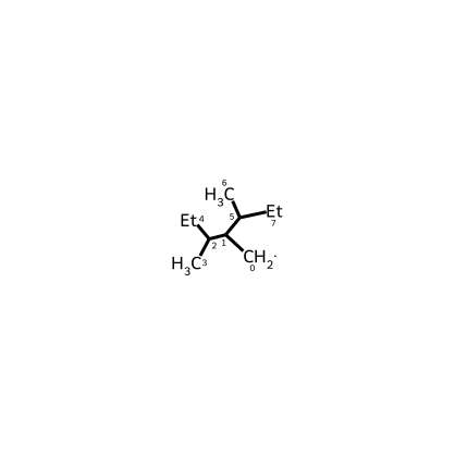 [CH2]C(C(C)CC)C(C)CC